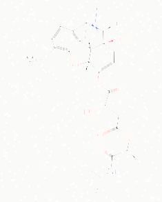 COc1ccc2c3c1O[C@H]1C(OC(=O)[C@@H](O)CC(=O)O[C@@H](C)C(=O)N[C@@H](C)C(C)=O)=CC[C@@]4(O)[C@@H](C2)N(C)CC[C@]314